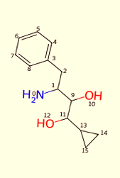 NC(Cc1ccccc1)C(O)C(O)C1CC1